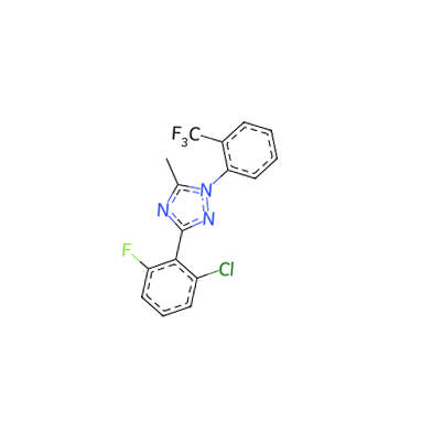 Cc1nc(-c2c(F)cccc2Cl)nn1-c1ccccc1C(F)(F)F